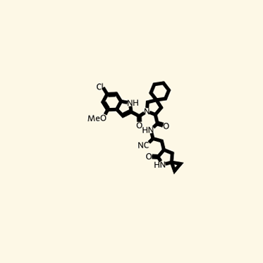 COC1=CC(Cl)=CC2NC(C(=O)N3CC4(CCCCC4)CC3C(=O)NC(C#N)CC3CC4(CC4)NC3=O)=CC12